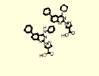 O=C(O)c1cnn(-c2nc(N3CCCCC3)c3cc(-c4ccccc4)ccc3n2)c1.O=C(O)c1cnn(-c2nc(Nc3ccccc3)c3cc(-c4ccccc4)ccc3n2)c1